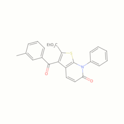 CCOC(=O)c1sc2c(ccc(=O)n2-c2ccccc2)c1C(=O)c1cccc(C)c1